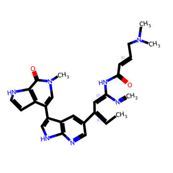 C=N/C(=C\C(=C/C)c1cnc2[nH]cc(-c3cn(C)c(=O)c4[nH]ccc34)c2c1)NC(=O)/C=C/CN(C)C